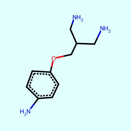 NCC(CN)COc1ccc(N)cc1